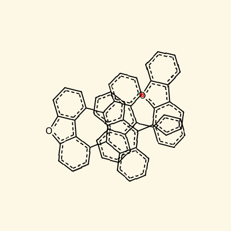 c1ccc(-c2c3ccccc3c(-c3cccc4oc5cccc(-c6c7ccccc7c(-c7cccc8c7oc7ccccc78)c7ccccc67)c5c34)c3ccccc23)cc1